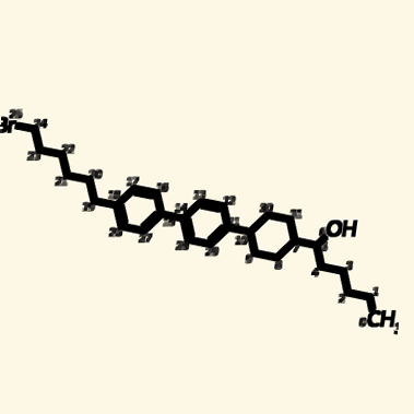 CCCCCC(O)C1CCC(c2ccc(-c3ccc(CCCCCCBr)cc3)cc2)CC1